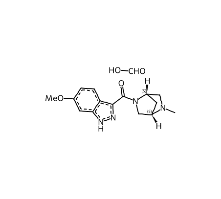 COc1ccc2c(C(=O)N3C[C@@H]4C[C@H]3CN4C)n[nH]c2c1.O=CO